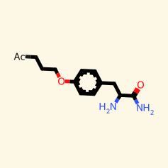 CC(=O)CCCOc1ccc(CC(N)C(N)=O)cc1